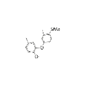 CSc1ccc(Oc2cc(C)ccc2[O])cc1C